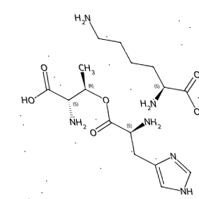 C[C@@H](OC(=O)[C@@H](N)Cc1c[nH]cn1)[C@H](N)C(=O)O.NCCCC[C@H](N)C(=O)O